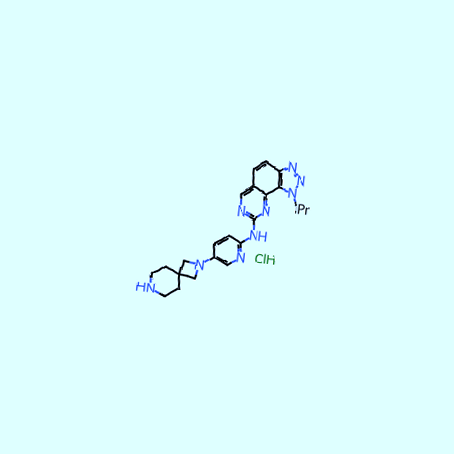 CC(C)n1nnc2ccc3cnc(Nc4ccc(N5CC6(CCNCC6)C5)cn4)nc3c21.Cl